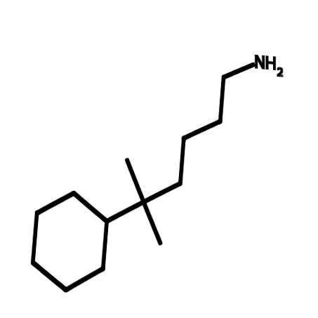 CC(C)(CCCCN)C1CCCCC1